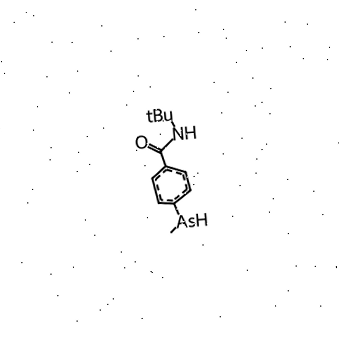 C[AsH]c1ccc(C(=O)NC(C)(C)C)cc1